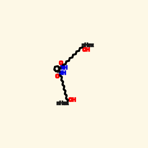 CCCCCCC(O)CCCCCCCCCCC(=O)N[C@H]1CCCC[C@H]1NC(=O)CCCCCCCCCCC(O)CCCCCC